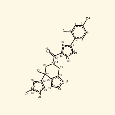 Cc1cc(F)ccc1-c1nnc(C(=O)N2Cc3sccc3C(C)(c3cnn(C)c3)C2)s1